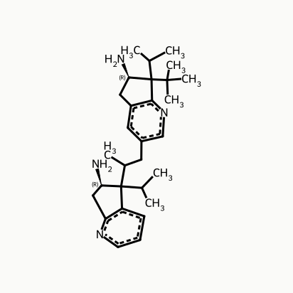 CC(C)C1(C(C)Cc2cnc3c(c2)C[C@@H](N)C3(C(C)C)C(C)(C)C)c2cccnc2C[C@H]1N